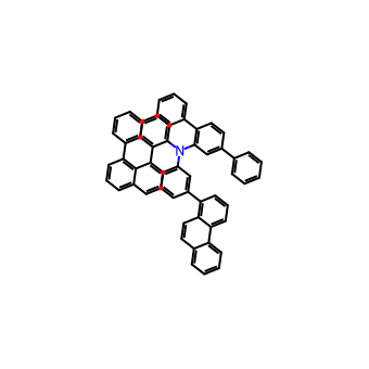 c1ccc(-c2ccc(-c3ccccc3)c(N(c3cccc(-c4cccc5c4ccc4ccccc45)c3)c3ccccc3-c3cccc4cccc(-c5ccccc5)c34)c2)cc1